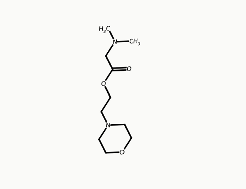 CN(C)CC(=O)OCCN1CCOCC1